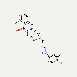 Cc1ccc(NCCCN2CC3CN(C(=O)c4c(C)cccc4C)CC3C2)cc1C